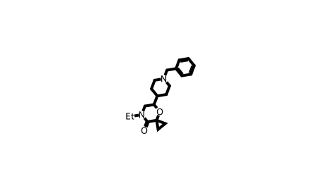 CCN1CC(C2CCN(Cc3ccccc3)CC2)OC2(CC2)C1=O